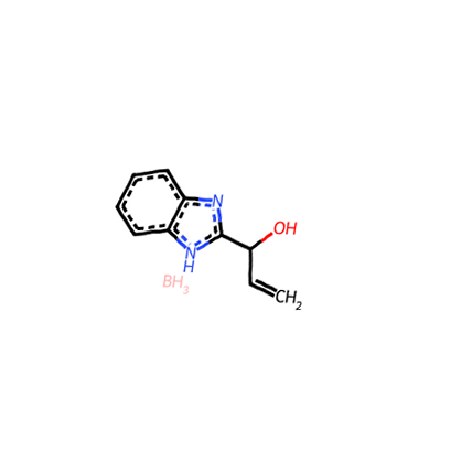 B.C=CC(O)c1nc2ccccc2[nH]1